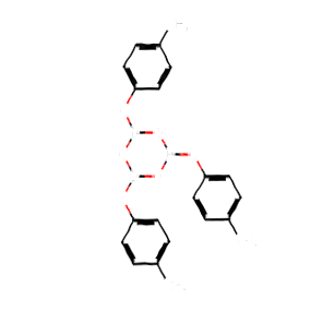 Cc1ccc(OB2OB(Oc3ccc(C)cc3)OB(Oc3ccc(C)cc3)O2)cc1